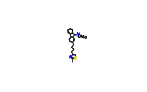 CO/N=C1/c2ccccc2-c2ccc(CCCCc3csc(C)n3)cc21